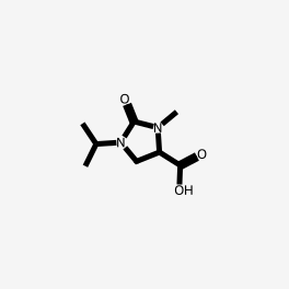 CC(C)N1CC(C(=O)O)N(C)C1=O